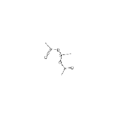 CC(=O)O[Si](C)OC(C)=O